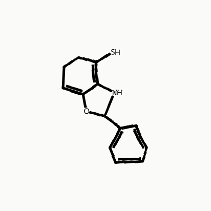 SC1=C2NC(c3ccccc3)OC2=CCC1